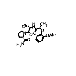 COc1ccccc1O[C@@H](C)C(=O)N[C@H](C(=O)N1CCC[C@H]1C(N)=O)C(C)(C)C